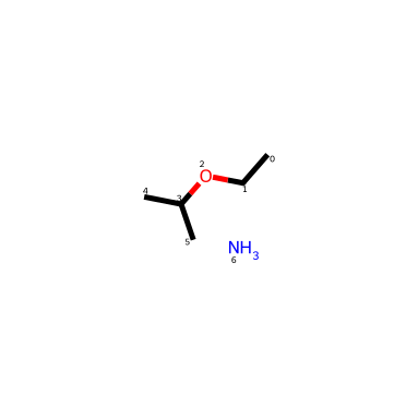 CCOC(C)C.N